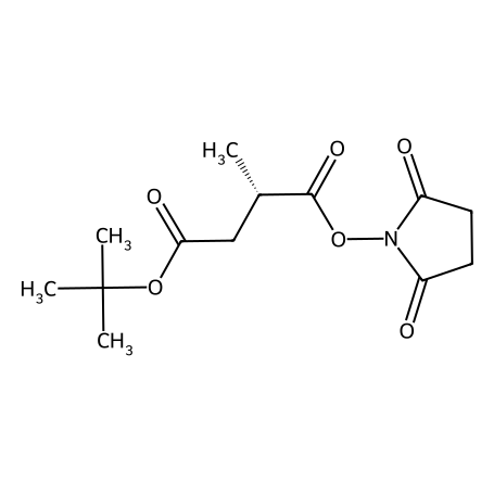 C[C@@H](CC(=O)OC(C)(C)C)C(=O)ON1C(=O)CCC1=O